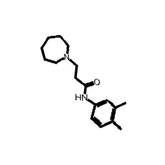 Cc1ccc(NC(=O)CCN2CCCCCC2)cc1C